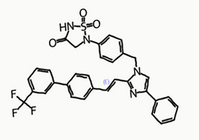 O=C1CN(c2ccc(Cn3cc(-c4ccccc4)nc3/C=C/c3ccc(-c4cccc(C(F)(F)F)c4)cc3)cc2)S(=O)(=O)N1